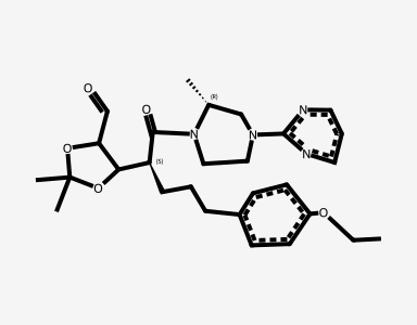 CCOc1ccc(CCC[C@H](C(=O)N2CCN(c3ncccn3)C[C@H]2C)C2OC(C)(C)OC2C=O)cc1